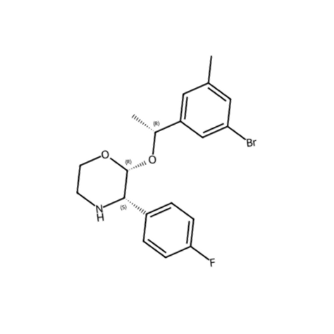 Cc1cc(Br)cc([C@@H](C)O[C@H]2OCCN[C@H]2c2ccc(F)cc2)c1